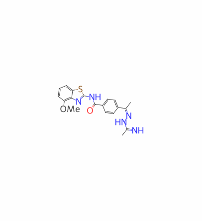 COc1cccc2sc(NC(=O)c3ccc(/C(C)=N\NC(C)=N)cc3)nc12